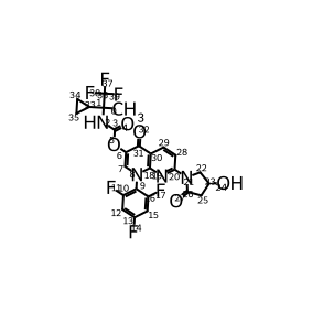 CC(NC(=O)Oc1cn(-c2c(F)cc(F)cc2F)c2nc(N3C[C@@H](O)CC3=O)ccc2c1=O)(C1CC1)C(F)(F)F